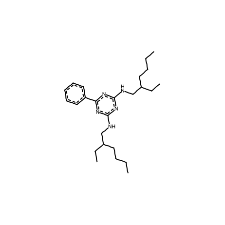 CCCCC(CC)CNc1nc(NCC(CC)CCCC)nc(-c2ccccc2)n1